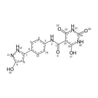 O=C(Nc1ccc(-c2cc(O)n[nH]2)cc1)c1c(O)[nH]c(=O)[nH]c1=O